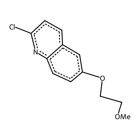 COCCOc1ccc2nc(Cl)ccc2c1